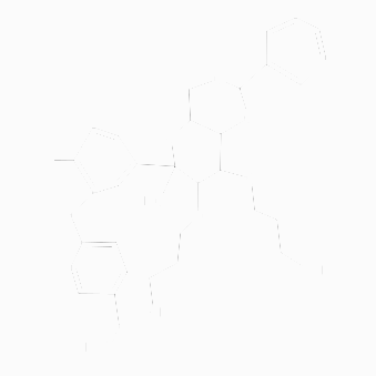 CCCCOC1C2OC(c3ccccc3)OCC2OC(O)(c2ccc(F)c(Cc3ccc(OC)cc3)c2)C1OCCCC